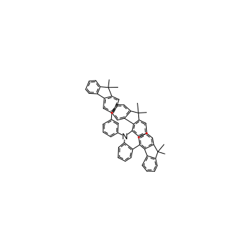 CC1(C)c2ccccc2-c2cc(-c3cccc(N(c4ccccc4-c4cccc5c4-c4ccccc4C5(C)C)c4cccc5c4-c4ccccc4C5(C)C)c3)ccc21